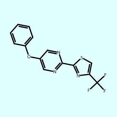 FC(F)(F)c1csc(-c2n[c]c(Oc3ccccc3)cn2)n1